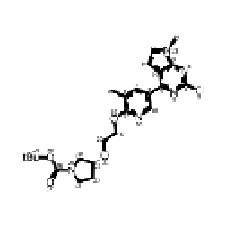 Cc1cc(-c2nc(Cl)nc3c2ccn3C)cnc1OCCO[C@@H]1CCN(C(=O)OC(C)(C)C)C1